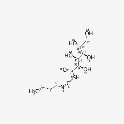 C=CCCN=C=[SH]C(=O)[C@H](O)[C@@H](O)[C@H](O)[C@H](O)CO